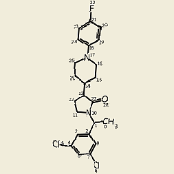 CC(c1cc(Cl)cc(Cl)c1)N1CCC(C2CCN(c3ccc(F)cc3)CC2)C1=O